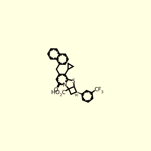 O=C(O)C12C[C@H](c3cccc(C(F)(F)F)c3)C1Sc1c(C3CC3)c(Cc3cccc4ccccc34)cc(=O)n12